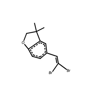 CC1(C)COc2ccc(C=C(Br)Br)cc21